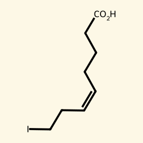 O=C(O)CCC/C=C\CCI